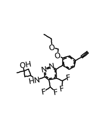 C#Cc1ccc(-c2nnc(NC3CC(C)(O)C3)c(C(F)F)c2C(F)F)c(OCOCC)c1